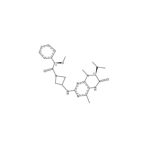 CO[C@@H](C(=O)N1CC(Nc2nc(C)c3c(n2)N(C)[C@@H](C(C)C)C(=O)N3)C1)c1ccccc1